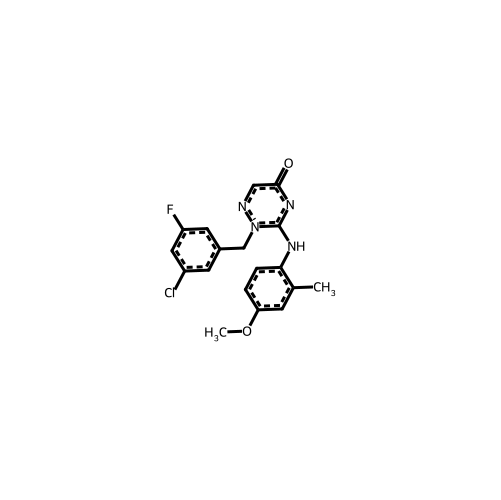 COc1ccc(Nc2nc(=O)cnn2Cc2cc(F)cc(Cl)c2)c(C)c1